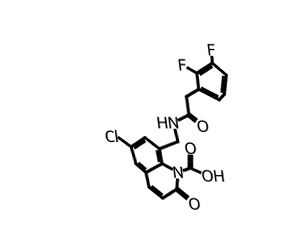 O=C(Cc1cccc(F)c1F)NCc1cc(Cl)cc2ccc(=O)n(C(=O)O)c12